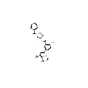 COc1ccc(-c2cc(C(F)(F)F)c3c(N)ncnn23)cc1C(=O)N[C@@H]1CN(C(=O)c2ccccc2F)C[C@@H]1F